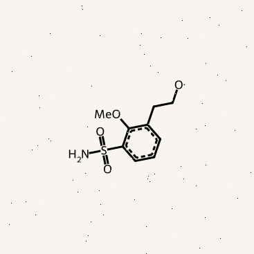 COc1c(CC[O])cccc1S(N)(=O)=O